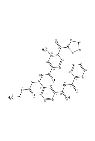 CCOC(=O)CC(NC(=O)c1ccc(C(=O)N2CCCC2)c(C)c1)c1cccc(C(=N)NC(=O)c2ccccc2)c1